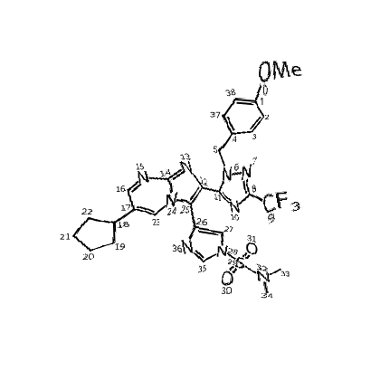 COc1ccc(Cn2nc(C(F)(F)F)nc2-c2nc3ncc(C4CCCC4)cn3c2-c2cn(S(=O)(=O)N(C)C)cn2)cc1